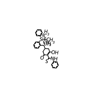 CC(C)(C)[SiH](c1ccccc1)c1ccccc1C(O)C1CC(=O)C(C(=S)Nc2ccccc2)=C(O)C1